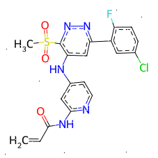 C=CC(=O)Nc1cc(Nc2cc(-c3cc(Cl)ccc3F)nnc2S(C)(=O)=O)ccn1